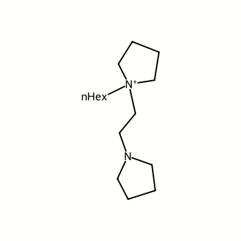 CCCCCC[N+]1(CCN2CCCC2)CCCC1